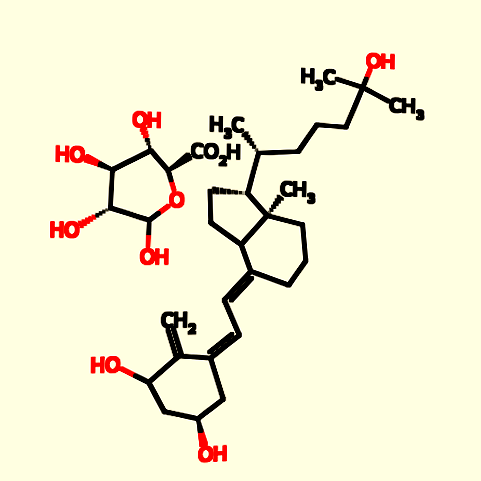 C=C1/C(=C\C=C2CCC[C@@]3(C)C2CC[C@@H]3[C@H](C)CCCC(C)(C)O)C[C@@H](O)CC1O.O=C(O)[C@H]1OC(O)[C@H](O)[C@@H](O)[C@@H]1O